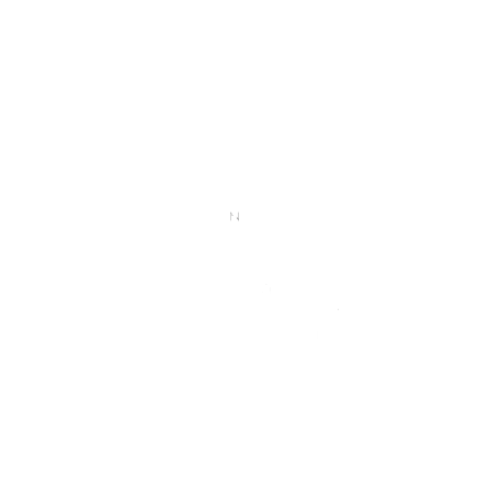 CCN1C=CC=C(C)C1.CS(=O)(=O)O